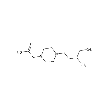 CCC(C)CCN1CCN(CC(=O)O)CC1